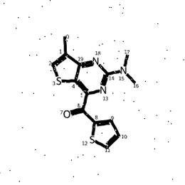 Cc1csc2c(C(=O)c3cccs3)nc(N(C)C)nc12